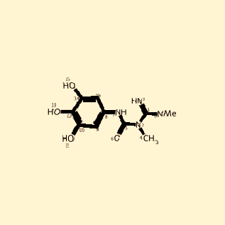 CNC(=N)N(C)C(=O)Nc1cc(O)c(O)c(O)c1